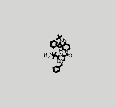 CC(C)(N)C(=O)N[C@H](COCc1ccccc1)C(=O)N1CCC2=NN(C(C)(C)C)C(=O)C2(Cc2ccccc2)C1